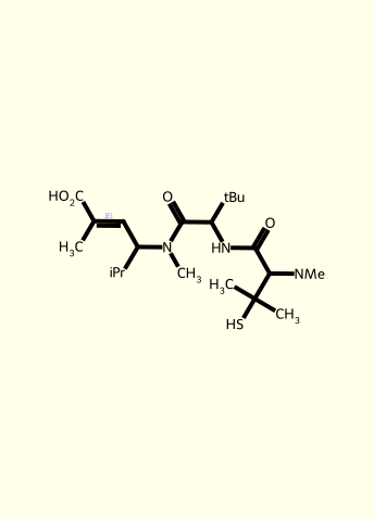 CNC(C(=O)NC(C(=O)N(C)C(/C=C(\C)C(=O)O)C(C)C)C(C)(C)C)C(C)(C)S